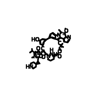 CCn1c(-c2cccnc2[C@H](C)OC)c2c3cc(ccc31)-c1cc(O)cc(c1)C[C@H](NC(=O)[C@H](C(C)C)N(C)C(=O)C1CC13CCNCC3)C(=O)N1CCC[C@H](N1)C(=O)OCC(C)(C)C2